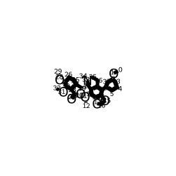 COc1cccc(-c2c3c(c(OC)c4c2OCO4)[C@H](C2OC(=O)c4c2ccc(OC)c4OC)N(C)CC3)c1